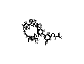 CC(C)COc1cc(F)cc(-c2ccc3c(n2)N2C[C@@H](CCCn4ccc(n4)S(=O)(=O)NC3=O)CC2(C)C)c1